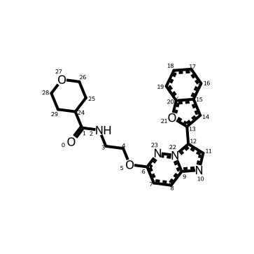 O=C(NCCOc1ccc2ncc(-c3cc4ccccc4o3)n2n1)C1CCOCC1